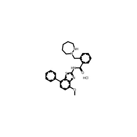 COc1ccc(-c2ccccc2)c2sc(NC(=O)c3ccccc3CN3CCCCCN3)nc12.Cl